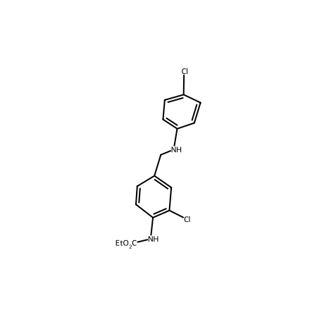 CCOC(=O)Nc1ccc(CNc2ccc(Cl)cc2)cc1Cl